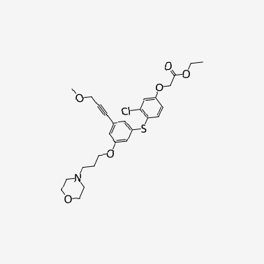 CCOC(=O)COc1ccc(Sc2cc(C#CCOC)cc(OCCCN3CCOCC3)c2)c(Cl)c1